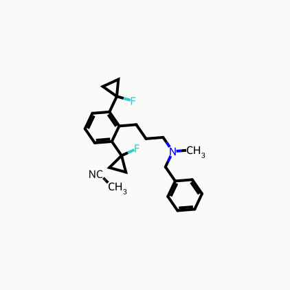 CC#N.CN(CCCc1c(C2(F)CC2)cccc1C1(F)CC1)Cc1ccccc1